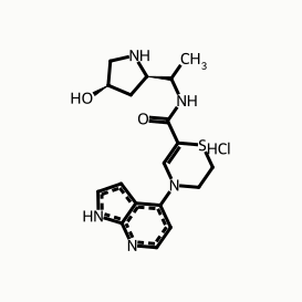 CC(NC(=O)C1=CN(c2ccnc3[nH]ccc23)CCS1)[C@H]1C[C@@H](O)CN1.Cl